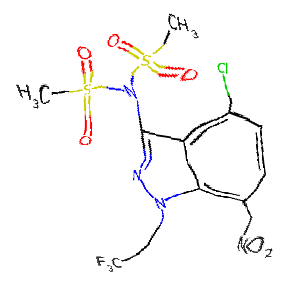 CS(=O)(=O)N(c1nn(CC(F)(F)F)c2c([N+](=O)[O-])ccc(Cl)c12)S(C)(=O)=O